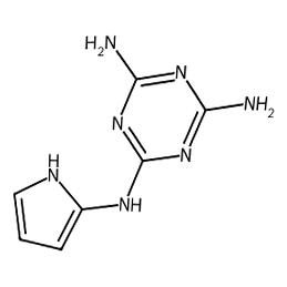 Nc1nc(N)nc(Nc2ccc[nH]2)n1